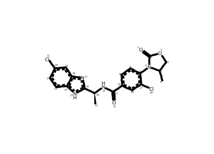 CC1COC(=O)N1c1ccc(C(=O)N[C@@H](C)c2nc3cc(Cl)ccc3[nH]2)cc1Cl